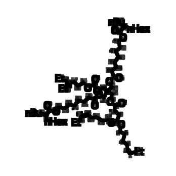 CC/C=C\CCCCOC(CCC(=O)OCC(COC(=O)CCCCCCCOC(=O)C(CCCC)CCCCCC)(COC(=O)CCCCCCCOC(=O)C(CCCC)CCCCCC)COC(=O)OCCCN(CC)CC)OCCCC/C=C\CC